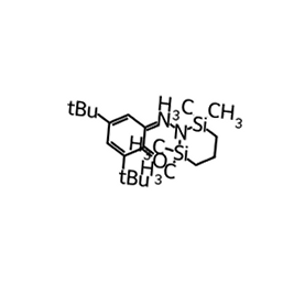 CC(C)(C)C1=CC(=NN2[Si](C)(C)CCC[Si]2(C)C)C(=O)C(C(C)(C)C)=C1